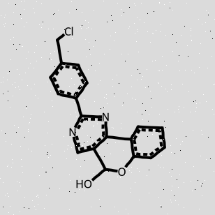 OC1Oc2ccccc2-c2nc(-c3ccc(CCl)cc3)ncc21